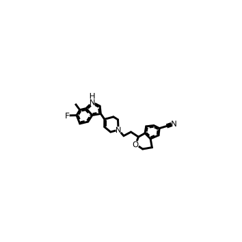 Cc1c(F)ccc2c(C3=CCN(CCC4OCCc5cc(C#N)ccc54)CC3)c[nH]c12